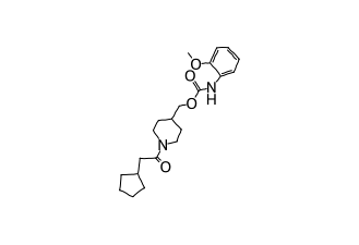 COc1ccccc1NC(=O)OCC1CCN(C(=O)CC2CCCC2)CC1